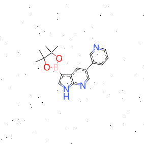 CC1(C)OB(c2c[nH]c3ncc(-c4cccnc4)cc23)OC1(C)C